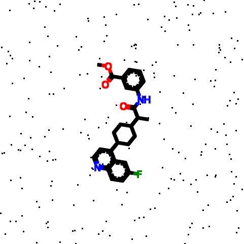 COC(=O)c1cccc(NC(=O)C(C)C2CCC(c3ccnc4ccc(F)cc34)CC2)c1